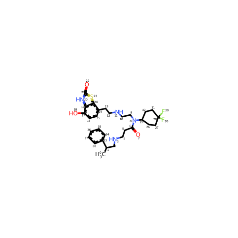 CC(CNCCC(=O)N(CCNCCc1ccc(O)c2[nH]c(=O)sc12)C1CCC(F)(F)CC1)c1ccccc1